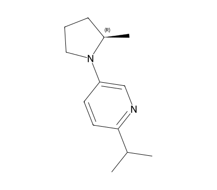 CC(C)c1ccc(N2CCC[C@H]2C)cn1